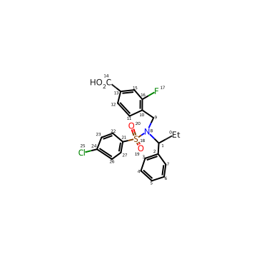 CCC(c1ccccc1)N(Cc1ccc(C(=O)O)cc1F)S(=O)(=O)c1ccc(Cl)cc1